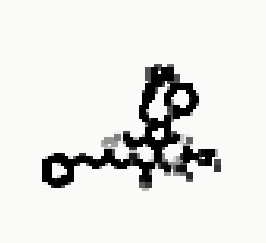 CC#CCN1c2c(n(C)c(=O)n(CC(=O)CCc3ccccc3)c2=O)N(OC(=O)C(F)(F)F)C1N1CCC[C@@H](N)C1